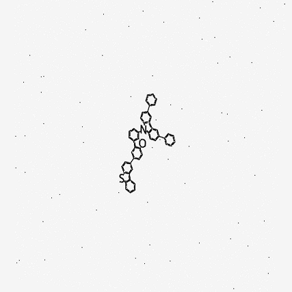 c1ccc(-c2ccc3c(c2)c2cc(-c4ccccc4)ccc2n3-c2cccc3c2oc2ccc(-c4ccc5sc6ccccc6c5c4)cc23)cc1